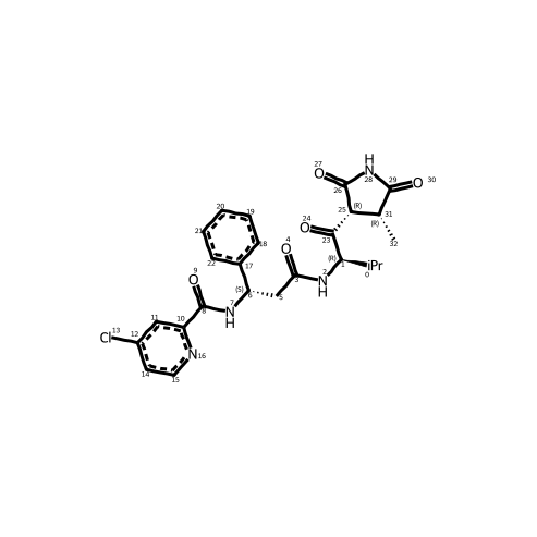 CC(C)[C@@H](NC(=O)C[C@H](NC(=O)c1cc(Cl)ccn1)c1ccccc1)C(=O)[C@@H]1C(=O)NC(=O)[C@@H]1C